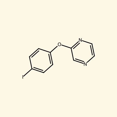 Ic1ccc(Oc2cnccn2)cc1